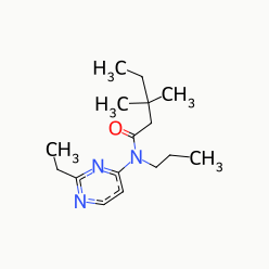 CCCN(C(=O)CC(C)(C)CC)c1ccnc(CC)n1